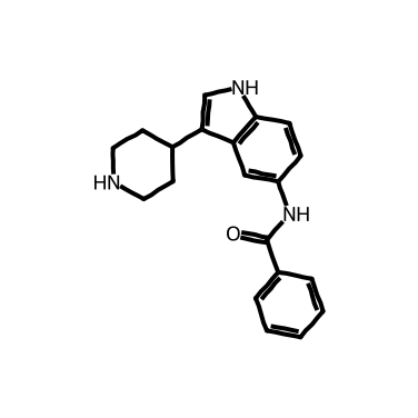 O=C(Nc1ccc2[nH]cc(C3CCNCC3)c2c1)c1ccccc1